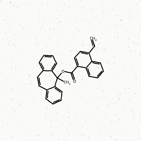 C=Cc1ccc(C(=O)OC2(C)c3ccccc3C=Cc3ccccc32)c2ccccc12